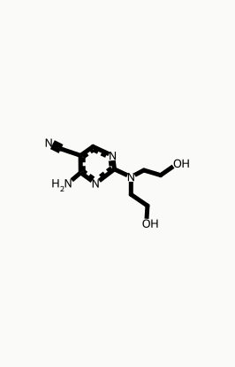 N#Cc1cnc(N(CCO)CCO)nc1N